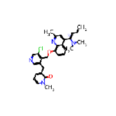 C=C/C=C(/c1cc(C)nc2c(OCc3c(Cl)cncc3Cc3cccn(C)c3=O)cccc12)N(C)C